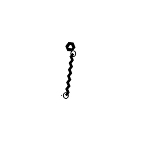 [O]CCCCCCCCCCCCOc1ccccc1